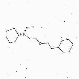 C=C[SiH](CCOCCC1CCCCC1)C1CCCCC1